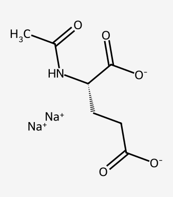 CC(=O)N[C@@H](CCC(=O)[O-])C(=O)[O-].[Na+].[Na+]